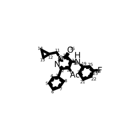 CC(=O)c1c(-c2ccccc2)nn(CC2CC2)c(=O)c1Nc1cccc(F)c1